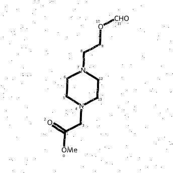 COC(=O)CN1CCN(CCOC=O)CC1